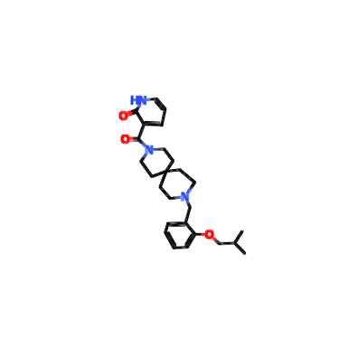 CC(C)COc1ccccc1CN1CCC2(CC1)CCN(C(=O)c1ccc[nH]c1=O)CC2